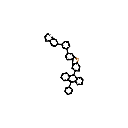 c1ccc(-c2c3ccccc3c(-c3ccc4sc5cc(-c6cccc(-c7ccc8ccccc8c7)c6)ccc5c4c3)c3ccccc23)cc1